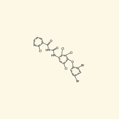 O=C(NC(=O)c1ccccc1Cl)Nc1cc(Cl)c(Oc2ccc(Br)cc2Br)c(Cl)c1Cl